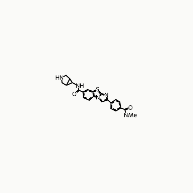 CNC(=O)c1ccc(-c2cn3c(n2)sc2cc(C(=O)NC4C5CNCC54)ccc23)cc1